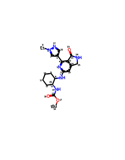 CCn1cc(-c2nc(NC3CCCC[C@@H]3NC(=O)OC(C)(C)C)cc3c2C(=O)NC3)cn1